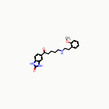 COc1ccccc1CCNCCCCC(=O)c1ccc2[nH]c(=O)[nH]c2c1